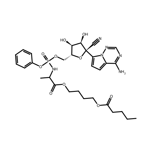 CCCCC(=O)OCCCCOC(=O)C(C)NP(=O)(OC[C@H]1O[C@@](C#N)(c2ccc3c(N)ncnn23)[C@H](O)[C@@H]1O)Oc1ccccc1